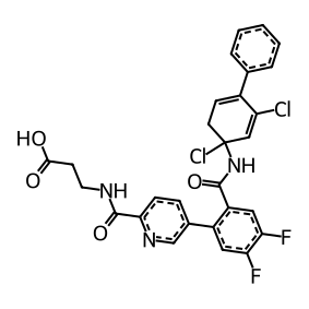 O=C(O)CCNC(=O)c1ccc(-c2cc(F)c(F)cc2C(=O)NC2(Cl)C=C(Cl)C(c3ccccc3)=CC2)cn1